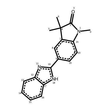 CN1C(=O)C(C)(C)c2cc(-c3nc4ccccc4[nH]3)ccc21